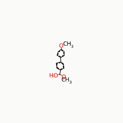 COc1ccc(-c2ccc(C(O)OC)cc2)cc1